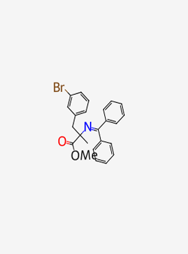 COC(=O)C(C)(Cc1cccc(Br)c1)N=C(c1ccccc1)c1ccccc1